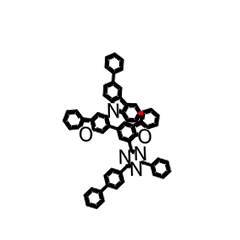 c1ccc(-c2ccc(-c3nc(-c4ccccc4)nc(-c4cc(-c5cc6oc7ccccc7c6cc5-n5c6ccccc6c6cc(-c7ccccc7)ccc65)cc5c4oc4ccccc45)n3)cc2)cc1